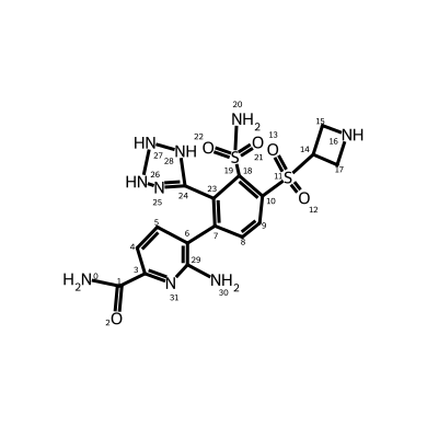 NC(=O)c1ccc(-c2ccc(S(=O)(=O)C3CNC3)c(S(N)(=O)=O)c2C2=NNNN2)c(N)n1